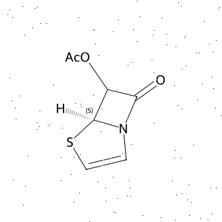 CC(=O)OC1C(=O)N2C=CS[C@@H]12